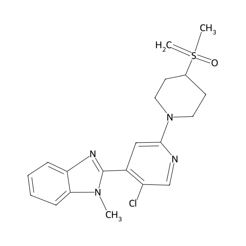 C=S(C)(=O)C1CCN(c2cc(-c3nc4ccccc4n3C)c(Cl)cn2)CC1